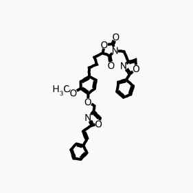 COc1cc(CCCC2OC(=O)N(Cc3coc(-c4ccccc4)n3)C2=O)ccc1OCc1coc(/C=C/c2ccccc2)n1